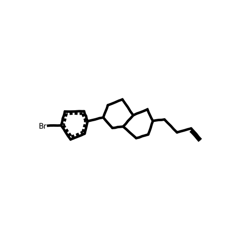 C=CCCC1CCC2CC(c3ccc(Br)cc3)CCC2C1